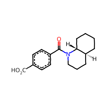 O=C(O)c1ccc(C(=O)N2CCC[C@@H]3CCCC[C@H]32)cc1